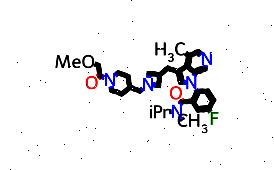 COCC(=O)N1CCC(CN2CC(Cc3cn(-c4ccc(F)cc4C(=O)N(C)C(C)C)c4cncc(C)c34)C2)CC1